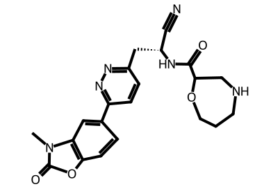 Cn1c(=O)oc2ccc(-c3ccc(C[C@H](C#N)NC(=O)C4CNCCCO4)nn3)cc21